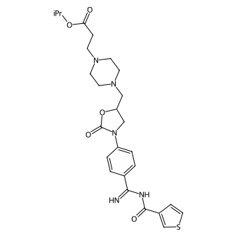 CC(C)OC(=O)CCN1CCN(CC2CN(c3ccc(C(=N)NC(=O)c4ccsc4)cc3)C(=O)O2)CC1